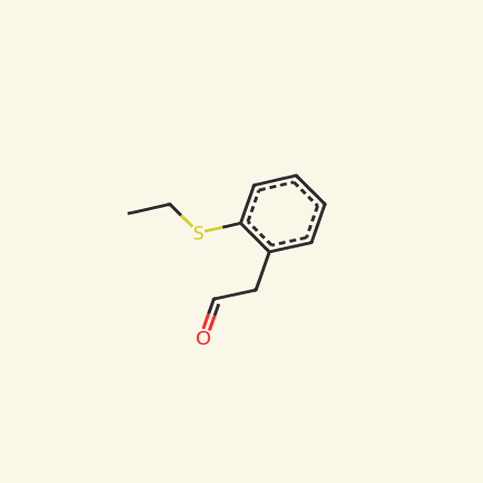 CCSc1ccccc1CC=O